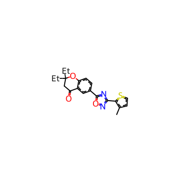 CCC1(CC)CC(=O)c2cc(-c3nc(-c4sccc4C)no3)ccc2O1